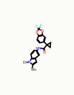 CCn1c(C(C)(C)C)cc2cc(NC(=O)C3(c4ccc5c(c4)OC(F)(F)O5)CC3)ccc21